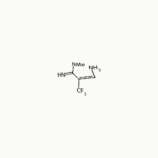 CNC(=N)/C(=C\N)C(F)(F)F